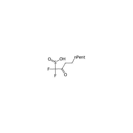 CCCCCCCC(=O)C(F)(F)S(=O)O